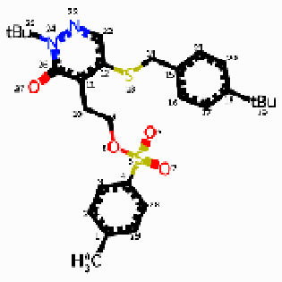 Cc1ccc(S(=O)(=O)OCCc2c(SCc3ccc(C(C)(C)C)cc3)cnn(C(C)(C)C)c2=O)cc1